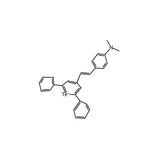 CN(C)c1ccc(C=Cc2cc(-c3ccccc3)[te+]c(-c3ccccc3)c2)cc1